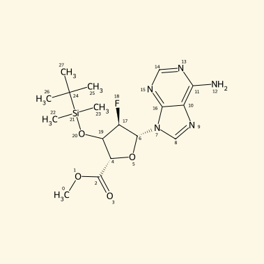 COC(=O)[C@H]1O[C@@H](n2cnc3c(N)ncnc32)[C@H](F)C1O[Si](C)(C)C(C)(C)C